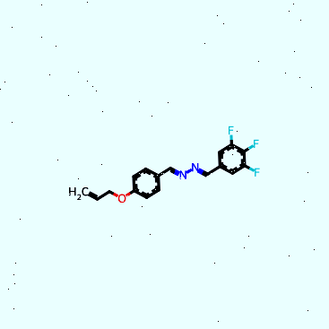 C=CCOc1ccc(C=NN=Cc2cc(F)c(F)c(F)c2)cc1